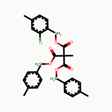 Cc1ccc([SiH2]OC(=O)C(C)(C(=O)O[SiH2]c2ccc(C)cc2)C(=O)O[SiH2]c2ccc(C)cc2Cl)cc1